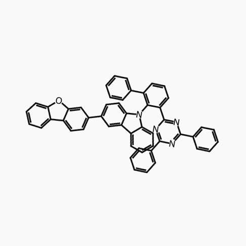 c1ccc(-c2nc(-c3ccccc3)nc(-c3cccc(-c4ccccc4)c3-n3c4ccccc4c4cc(-c5ccc6c(c5)oc5ccccc56)ccc43)n2)cc1